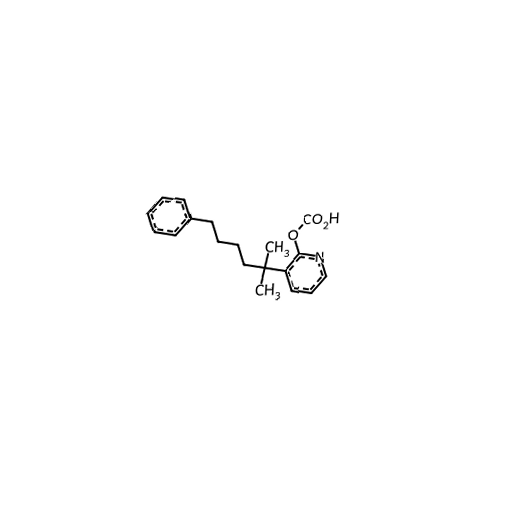 CC(C)(CCCCc1ccccc1)c1cccnc1OC(=O)O